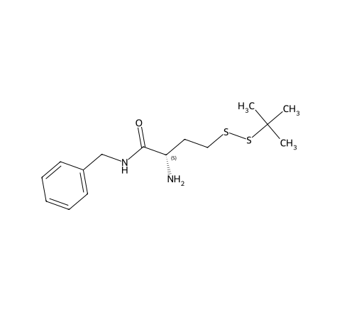 CC(C)(C)SSCC[C@H](N)C(=O)NCc1ccccc1